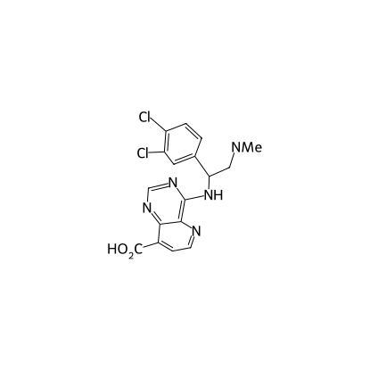 CNCC(Nc1ncnc2c(C(=O)O)ccnc12)c1ccc(Cl)c(Cl)c1